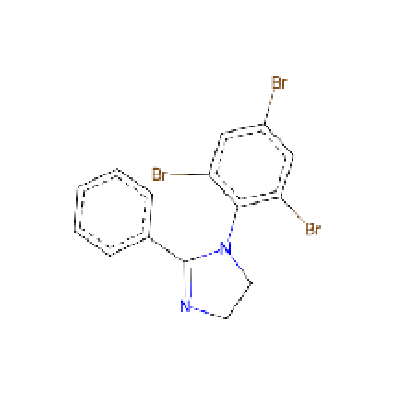 Brc1cc(Br)c(N2CCN=C2c2ccccc2)c(Br)c1